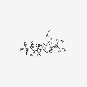 CCCN(SN(C)P(O)(=S)N(C)C(=S)C(F)(F)F)C(=O)N(CC)CC